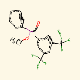 COP(C(=O)c1cc(C(F)(F)F)cc(C(F)(F)F)c1)c1ccccc1